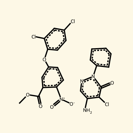 COC(=O)c1cc(Oc2ccc(Cl)cc2Cl)ccc1[N+](=O)[O-].Nc1cnn(-c2ccccc2)c(=O)c1Cl